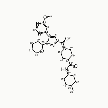 COc1cc(-c2cc(C(=O)N3CCC(C(=O)NC4CCC(C)CC4)CC3)nn2C2CCCCO2)ncn1